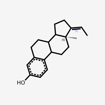 C/C=C1/CCC2C3CCc4cc(O)ccc4C3CC[C@]12C